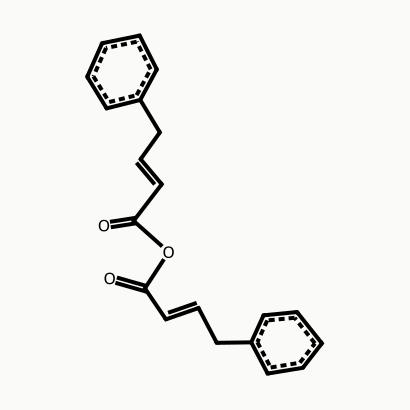 O=C(C=CCc1ccccc1)OC(=O)C=CCc1ccccc1